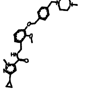 COc1c(CNC(=O)c2cc(C3CC3)nn2C)cccc1OCc1ccc(CN2CCN(C)CC2)cc1